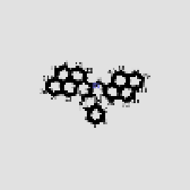 C(=C(/c1cnc2ccccc2n1)c1ccc2ccc3cccc4ccc1c2c34)/c1ccc2ccc3cccc4ccc1c2c34